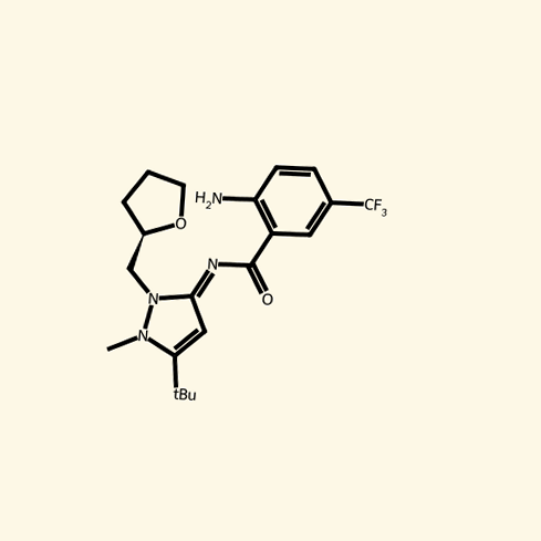 Cn1c(C(C)(C)C)cc(=NC(=O)c2cc(C(F)(F)F)ccc2N)n1C[C@H]1CCCO1